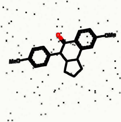 COc1ccc(C2C(=O)c3ccc(OC)cc3C3CCCC32)cc1